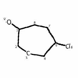 [O]C1CCCC(Cl)CC1